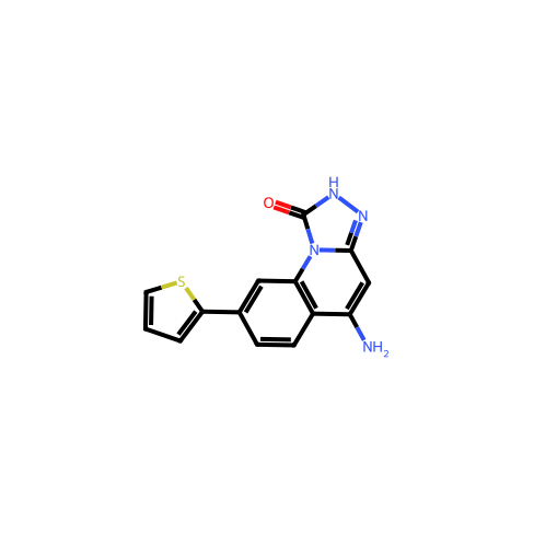 Nc1cc2n[nH]c(=O)n2c2cc(-c3cccs3)ccc12